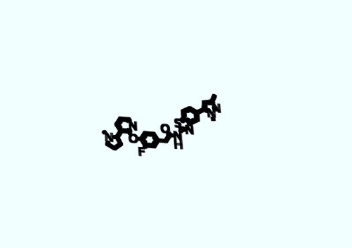 Cc1cc(-c2ccc3sc(NC(=O)Cc4ccc(Oc5ncccc5C5CCCN5C)c(F)c4)nc3c2)n(C)n1